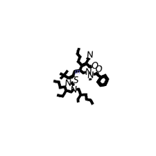 CCCCC1=C(C#N)C(=O)N(N(C)C(=O)c2ccccc2)C/C1=C\c1sc(N(CC(CC)CCCC)CC(CC)CCCC)nc1C(C)(C)C